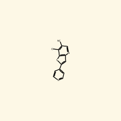 N#Cc1cnc2cc(-c3ccncc3)sc2c1Cl